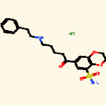 Cl.NS(=O)(=O)c1cc(C(=O)CCCCNCCc2ccccc2)cc2c1OCCO2